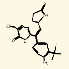 Cc1ccc(C(=C[C@H]2CCC(=O)N2)c2ccc(Cl)c(=O)[nH]2)cc1C(F)(F)F